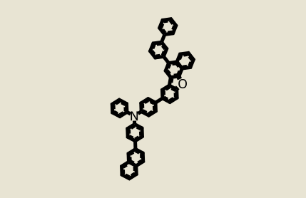 c1ccc(-c2cccc(-c3cc4c5cc(-c6ccc(N(c7ccccc7)c7ccc(-c8ccc9ccccc9c8)cc7)cc6)ccc5oc4c4ccccc34)c2)cc1